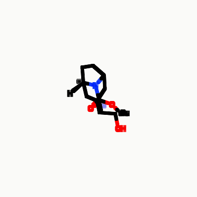 CC(C)(C)OC(=O)N1C2CC[C@H]1C/C(=C/CO)C2